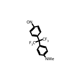 CNc1ccc(C(c2ccc(N=O)cc2)(C(F)(F)F)C(F)(F)F)cc1